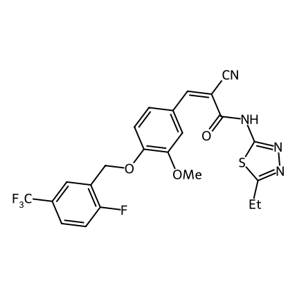 CCc1nnc(NC(=O)C(C#N)=Cc2ccc(OCc3cc(C(F)(F)F)ccc3F)c(OC)c2)s1